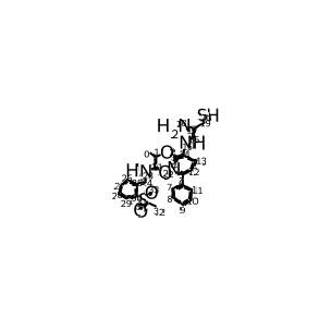 CC(Oc1nc(-c2ccccc2)ccc1NCC(N)CS)C(=O)NCc1ccccc1S(C)(=O)=O